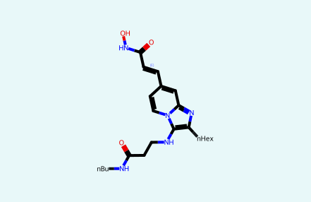 CCCCCCc1nc2cc(/C=C/C(=O)NO)ccn2c1NCCC(=O)NCCCC